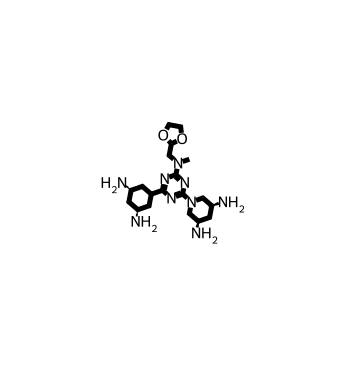 CN(CC1OCCO1)c1nc(C2C[C@@H](N)C[C@@H](N)C2)nc(N2C[C@H](N)C[C@H](N)C2)n1